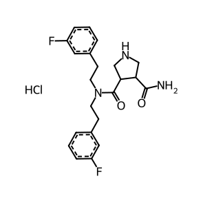 Cl.NC(=O)C1CNCC1C(=O)N(CCc1cccc(F)c1)CCc1cccc(F)c1